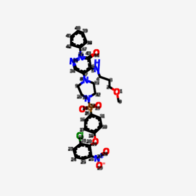 COCCCNc1c(N2CCN(S(=O)(=O)c3ccc(Oc4c(Cl)cccc4[N+](=O)[O-])cc3)CC2)cnn(-c2ccccc2)c1=O